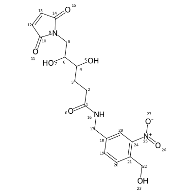 O=C(CCC(O)C(O)CN1C(=O)C=CC1=O)NCc1ccc(CO)c([N+](=O)[O-])c1